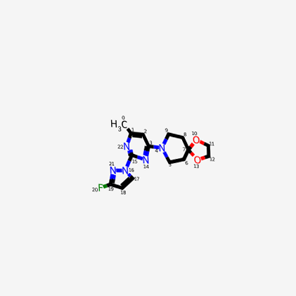 Cc1cc(N2CCC3(CC2)OCCO3)nc(-n2ccc(F)n2)n1